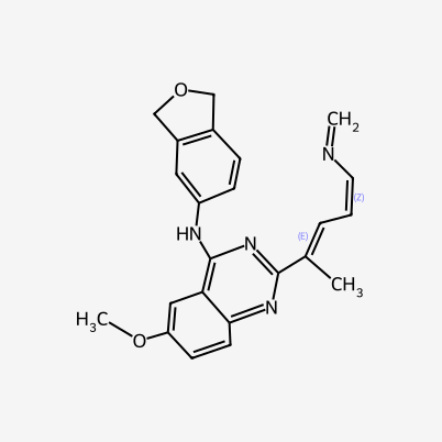 C=N/C=C\C=C(/C)c1nc(Nc2ccc3c(c2)COC3)c2cc(OC)ccc2n1